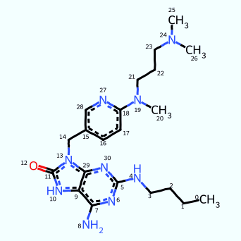 CCCCNc1nc(N)c2[nH]c(=O)n(Cc3ccc(N(C)CCCN(C)C)nc3)c2n1